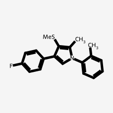 CSc1c(-c2ccc(F)cc2)cn(-c2ccccc2C)c1C